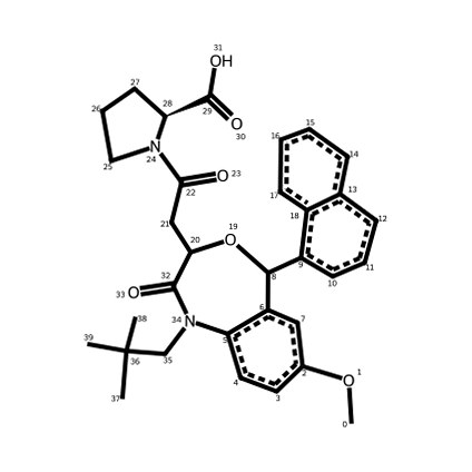 COc1ccc2c(c1)C(c1cccc3ccccc13)OC(CC(=O)N1CCC[C@H]1C(=O)O)C(=O)N2CC(C)(C)C